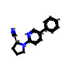 N#C[C@H]1CCCN1c1ccc(-c2ccccc2)cn1